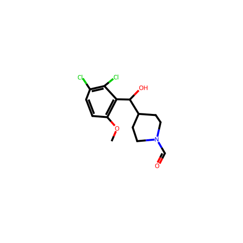 COc1ccc(Cl)c(Cl)c1C(O)C1CCN(C=O)CC1